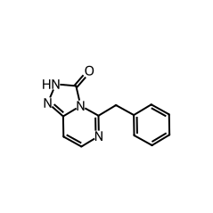 O=c1[nH]nc2ccnc(Cc3ccccc3)n12